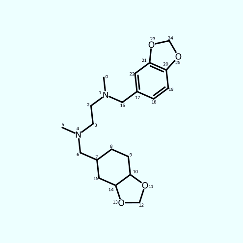 CN(CCN(C)CC1CCC2OCOC2C1)Cc1ccc2c(c1)OCO2